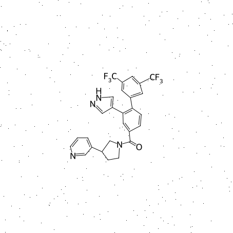 O=C(c1ccc(-c2cc(C(F)(F)F)cc(C(F)(F)F)c2)c(-c2cn[nH]c2)c1)N1CCC(c2cccnc2)C1